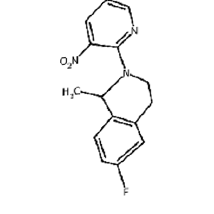 CC1c2ccc(F)cc2CCN1c1ncccc1[N+](=O)[O-]